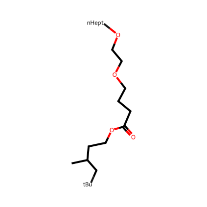 CCCCCCCOCCOCCCC(=O)OCCC(C)CC(C)(C)C